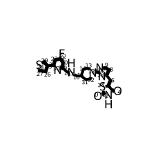 O=C1NC(=O)C(=Cc2ccnc(N3CCC(CNCc4cc(F)cc(-c5ccsc5)n4)CC3)n2)S1